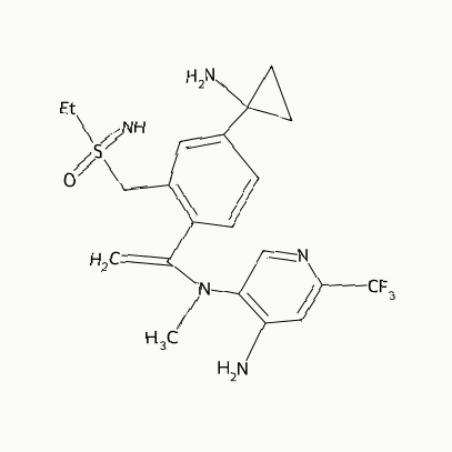 C=C(c1ccc(C2(N)CC2)cc1CS(=N)(=O)CC)N(C)c1cnc(C(F)(F)F)cc1N